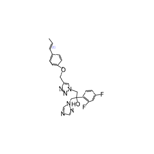 C/C=C/c1ccc(OCc2cn(CC(O)(Cn3cncn3)c3ccc(F)cc3F)nn2)cc1